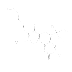 CCC(C)(C)N1Cc2c(cc(OC)c(OCCCOC)c2F)-c2cc(=O)c(C(C)=O)cn21